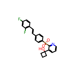 O=S(=O)(c1ccc(C=Cc2ccc(F)cc2F)cc1)c1ncccc1C1(O)CCC1